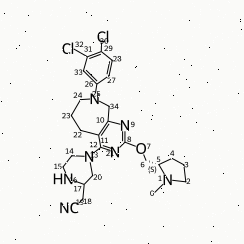 CN1CCC[C@H]1COc1nc2c(c(N3CCNC(CC#N)C3)n1)CCCN(c1ccc(Cl)c(Cl)c1)C2